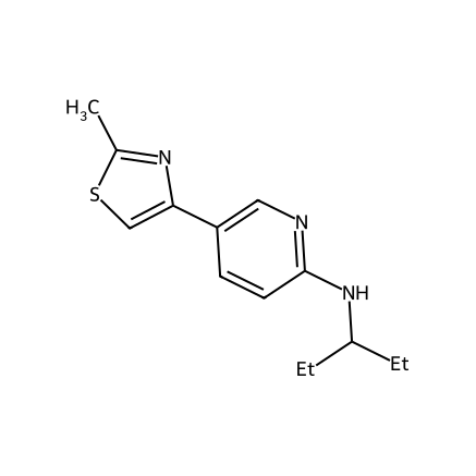 CCC(CC)Nc1ccc(-c2csc(C)n2)cn1